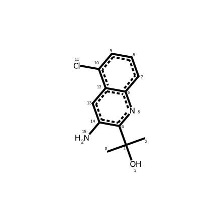 CC(C)(O)c1nc2cccc(Cl)c2cc1N